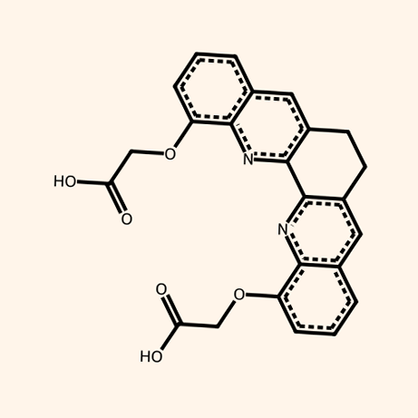 O=C(O)COc1cccc2cc3c(nc12)-c1nc2c(OCC(=O)O)cccc2cc1CC3